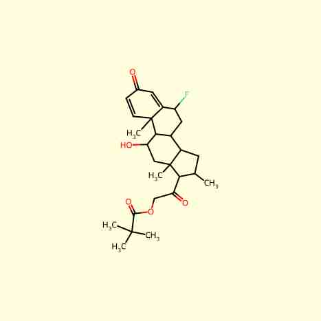 CC1CC2C3CC(F)C4=CC(=O)C=CC4(C)C3C(O)CC2(C)C1C(=O)COC(=O)C(C)(C)C